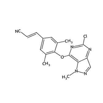 Cc1cc(/C=C/C#N)cc(C)c1Oc1nc(Cl)nc2cnn(C)c12